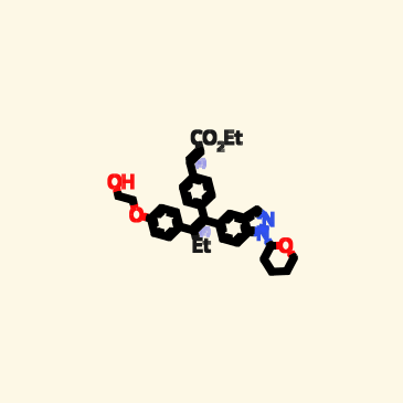 CCOC(=O)/C=C/c1ccc(/C(=C(/CC)c2ccc(OCCO)cc2)c2ccc3c(cnn3C3CCCCO3)c2)cc1